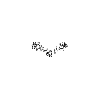 O=C(/C=C/C=C/c1ccc2c(c1)OCO2)OC(=O)/C=C/C=C/c1ccc2c(c1)OCO2